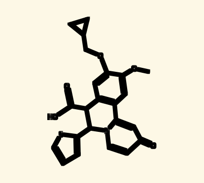 COc1cc2c(cc1OCC1CC1)C(C(=O)O)C(c1cccs1)n1ccc(=O)cc1-2